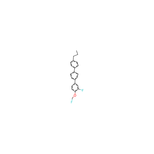 CCCc1ccc(-c2ccc(-c3ccc(OCF)c(F)c3)cc2)cc1